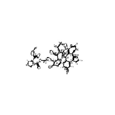 COC(=O)[C@@H]1CCCN1C(=O)OCOc1c2n(ccc1=O)N(C1c3ccc(F)cc3-c3ccsc3-c3ccccc31)[C@@H]1COCCN1C2=O